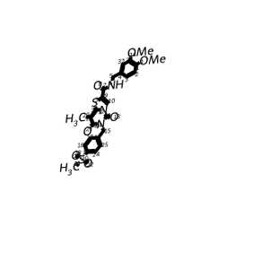 COc1ccc(CNC(=O)c2cn3c(=O)n(Cc4ccc(S(C)(=O)=O)cc4)c(=O)c(C)c3s2)cc1OC